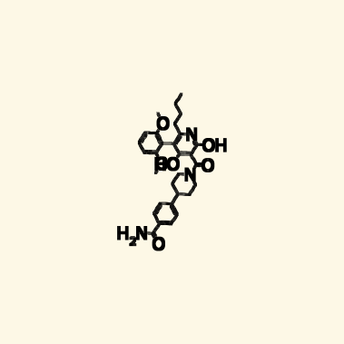 CCCCc1nc(O)c(C(=O)N2CCC(c3ccc(C(N)=O)cc3)CC2)c(O)c1-c1c(OC)cccc1OC